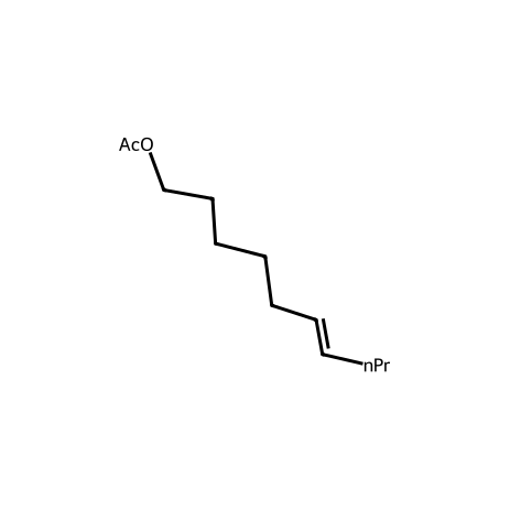 CCCC=CCCCCCOC(C)=O